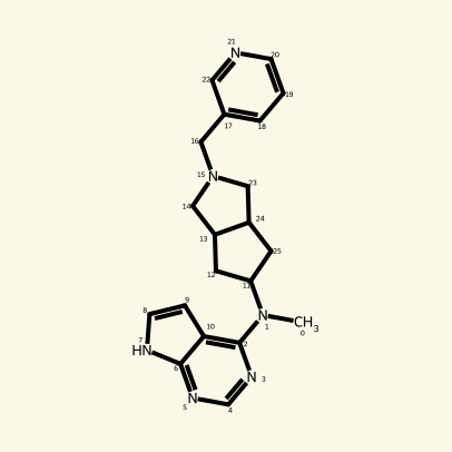 CN(c1ncnc2[nH]ccc12)C1CC2CN(Cc3cccnc3)CC2C1